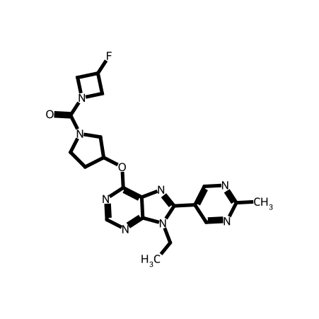 CCn1c(-c2cnc(C)nc2)nc2c(OC3CCN(C(=O)N4CC(F)C4)C3)ncnc21